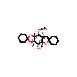 CCCCO[C@@H]1[C@@H]2CC3(CCCCC3)O[C@@H]2[C@@H](O)[C@@H]2OC3(CCCCC3)O[C@@H]12